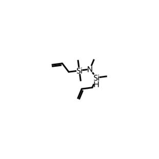 C=CC[SiH](C)N(C)[Si](C)(C)CC=C